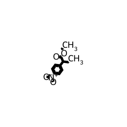 CCOC(=O)C(CC)c1ccc([N+](=O)[O-])cc1